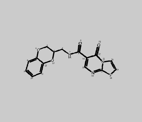 O=C(NCC1COc2ccccc2O1)c1cnc2sccn2c1=O